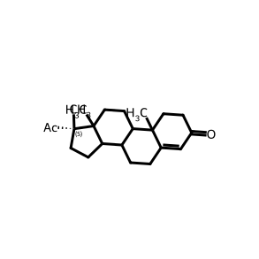 CC(=O)[C@@]1(C)CCC2C3CCC4=CC(=O)CCC4(C)C3CCC21C